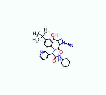 CC(C)(C)c1ccc(N(C(=O)[C@H]2C(CO)CN2C#N)C(C(=O)NC2CCCCC2)c2cccnc2)cc1